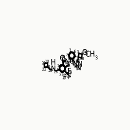 CO[C@H]1C[C@](c2cccc(N3Cc4c(cc(CNCC5CCC5)cc4C(F)(F)F)C3=O)c2)(c2nncn2C)C1